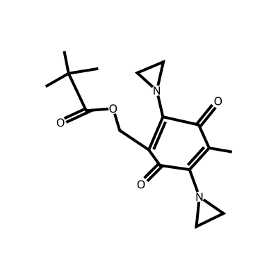 CC1=C(N2CC2)C(=O)C(COC(=O)C(C)(C)C)=C(N2CC2)C1=O